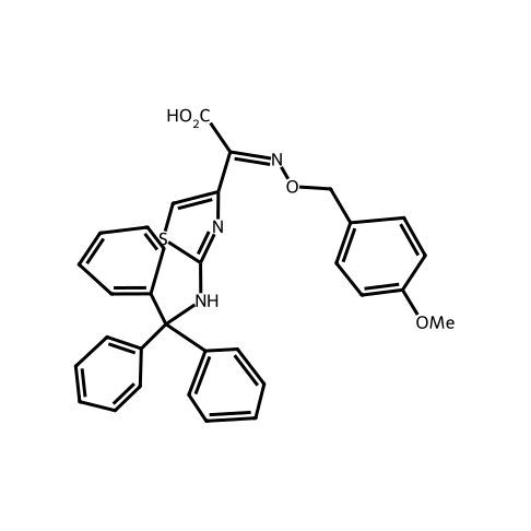 COc1ccc(CON=C(C(=O)O)c2csc(NC(c3ccccc3)(c3ccccc3)c3ccccc3)n2)cc1